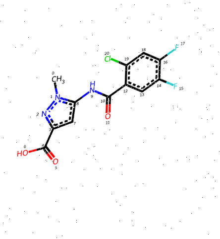 Cn1nc(C(=O)O)cc1NC(=O)c1cc(F)c(F)cc1Cl